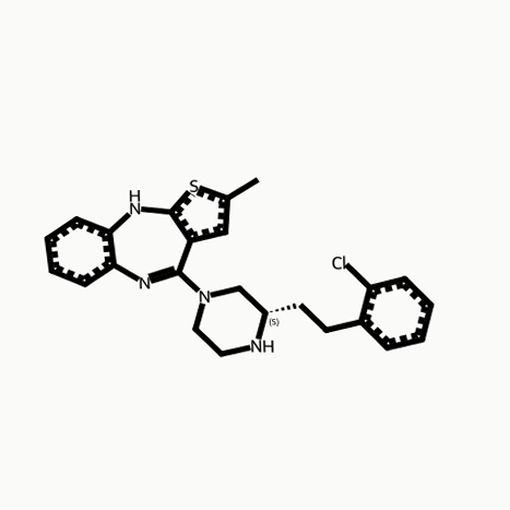 Cc1cc2c(s1)Nc1ccccc1N=C2N1CCN[C@@H](CCc2ccccc2Cl)C1